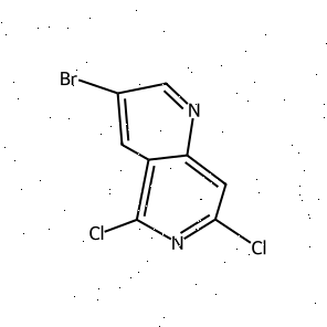 Clc1cc2ncc(Br)cc2c(Cl)n1